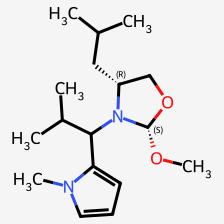 CO[C@H]1OC[C@@H](CC(C)C)N1C(c1cccn1C)C(C)C